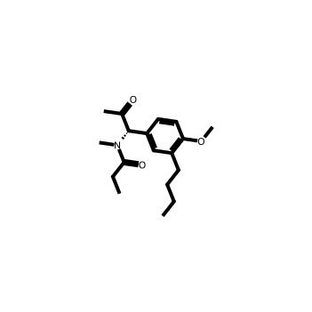 CCCCc1cc([C@@H](C(C)=O)N(C)C(=O)CC)ccc1OC